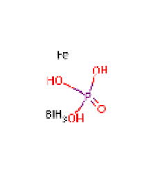 O=P(O)(O)O.[BiH3].[Fe]